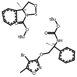 CC(C)(C)OC(=O)N1SOC[C@]1(C)c1ccccc1.Cc1onc(OC[C@@](C)(NC(=O)OC(C)(C)C)c2ccccc2)c1Br